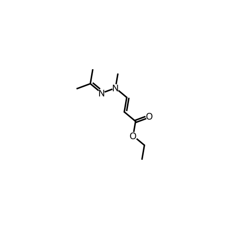 CCOC(=O)/C=C/N(C)N=C(C)C